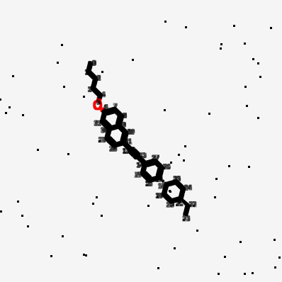 CCCCCOc1ccc2cc(C#Cc3ccc([C@H]4CC[C@H](CC)CC4)cc3)ccc2c1